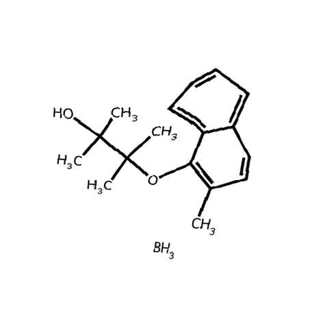 B.Cc1ccc2ccccc2c1OC(C)(C)C(C)(C)O